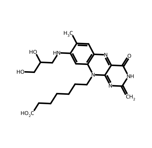 C=c1nc2c(c(=O)[nH]1)=Nc1cc(C)c(NCC(O)CO)cc1N2CCCCCCC(=O)O